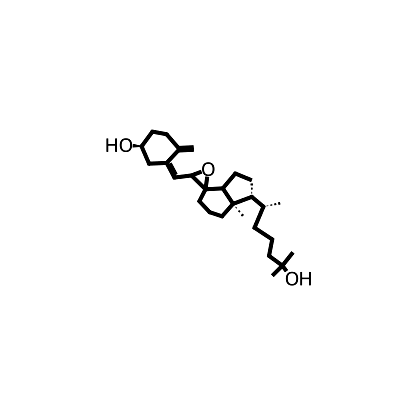 C=C1CC[C@H](O)C/C1=C/C1OC12CCC[C@@]1(C)C2CC[C@@H]1[C@H](C)CCCC(C)(C)O